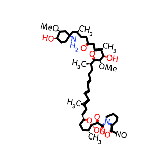 CO[C@@H]1C[C@](N)(C[C@@H](C)CCC(=O)C/C=C(\C)[C@@H](O)[C@@H](OC)C(=O)[C@H](C)CC/C=C/C=C/C=C(\C)CC[C@@H]2CC[C@@H](C)[C@](O)(C(=O)C(=O)N3CCCCC3C(=O)N=O)O2)CC[C@H]1O